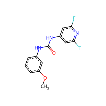 COc1cccc(NC(=O)Nc2cc(F)nc(F)c2)c1